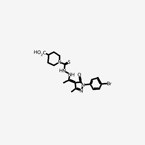 CC1=NN(c2ccc(Br)cc2)C(=O)/C1=C(/C)NNC(=S)N1CCC(C(=O)O)CC1